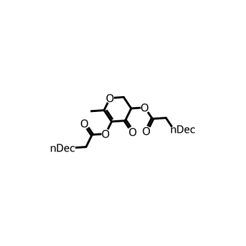 CCCCCCCCCCCC(=O)OC1=C(C)OCC(OC(=O)CCCCCCCCCCC)C1=O